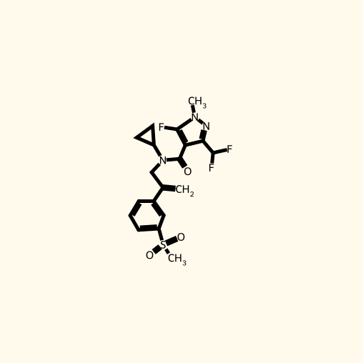 C=C(CN(C(=O)c1c(C(F)F)nn(C)c1F)C1CC1)c1cccc(S(C)(=O)=O)c1